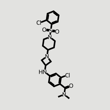 CN(C)C(=O)c1ccc(NC2CN(C3CCN(S(=O)(=O)c4ccccc4Cl)CC3)C2)cc1Cl